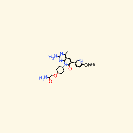 COc1ccc(-c2cc3c(C)nc(N)nc3n([C@H]3CC[C@H](OCC(N)=O)CC3)c2=O)cn1